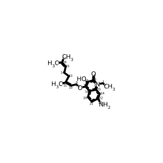 CCn1c(=O)c(O)c(OCC=C(C)CCC=C(C)C)c2ccc(N)cc21